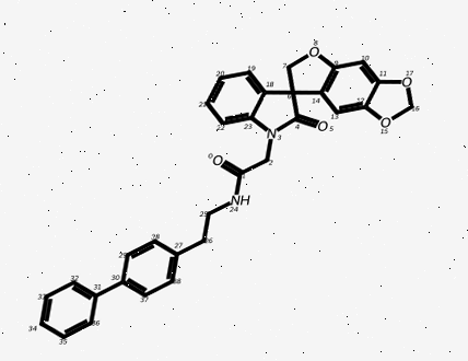 O=C(CN1C(=O)C2(COc3cc4c(cc32)OCO4)c2ccccc21)NCCc1ccc(-c2ccccc2)cc1